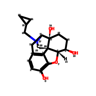 Oc1ccc2c3c1O[C@@H]1[C@H](O)CC[C@]4(O)C(C2)N(CC2CC2)CC[C@@]314